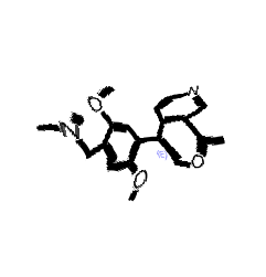 C/C=C(/c1cc(OC)c(CN(C)C)cc1OC)c1ccncc1C(C)=O